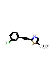 CCOC(=O)c1cnc(C#Cc2cccc(Cl)c2)s1